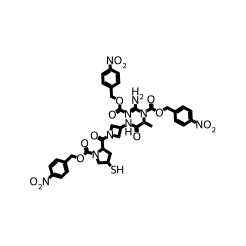 CC(C(=O)NC1CN(C(=O)C2CC(S)CN2C(=O)OCc2ccc([N+](=O)[O-])cc2)C1)N(C(=O)OCc1ccc([N+](=O)[O-])cc1)C(N)=NC(=O)OCc1ccc([N+](=O)[O-])cc1